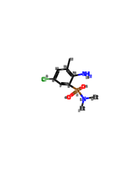 CCN(CC)S(=O)(=O)c1cc(Cl)cc(C)c1N